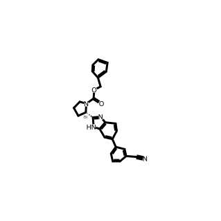 N#Cc1cccc(-c2ccc3nc([C@@H]4CCCN4C(=O)OCc4ccccc4)[nH]c3c2)c1